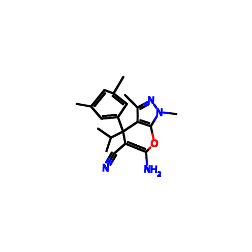 Cc1cc(C)cc(C2(C(C)C)C(C#N)=C(N)Oc3c2c(C)nn3C)c1